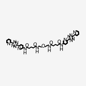 O=C(CCCC(=O)Nc1ccc(-c2nnc(-c3ccccn3)nn2)nc1)NCCOCCNC(=O)CCCC(=O)Nc1ccc(-c2nnc(-c3ccccn3)nn2)nc1